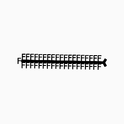 CC(C)C(F)(F)C(F)(F)C(F)(F)C(F)(F)C(F)(F)C(F)(F)C(F)(F)C(F)(F)C(F)(F)C(F)(F)C(F)(F)C(F)(F)C(F)(F)C(F)(F)C(F)(F)C(F)(F)C(F)(F)C(F)(F)C(F)(F)F